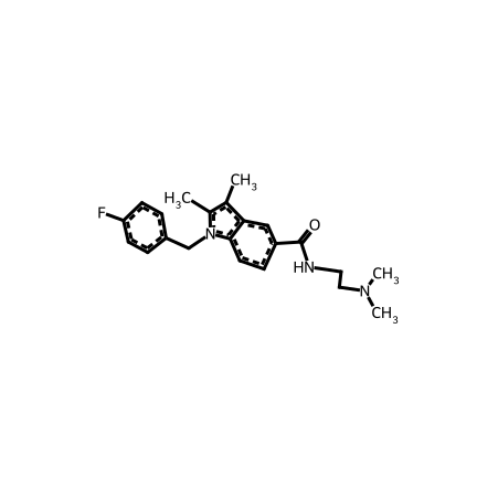 Cc1c(C)n(Cc2ccc(F)cc2)c2ccc(C(=O)NCCN(C)C)cc12